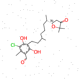 Cc1c(Cl)c(O)c(CCC(C)CCCC(C)[C@@H]2CC(=O)C(C)(C)O2)c(O)c1C=O